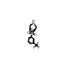 O=S(=O)(c1cccc(C(F)(F)F)c1)N1C2CCC1CNC2